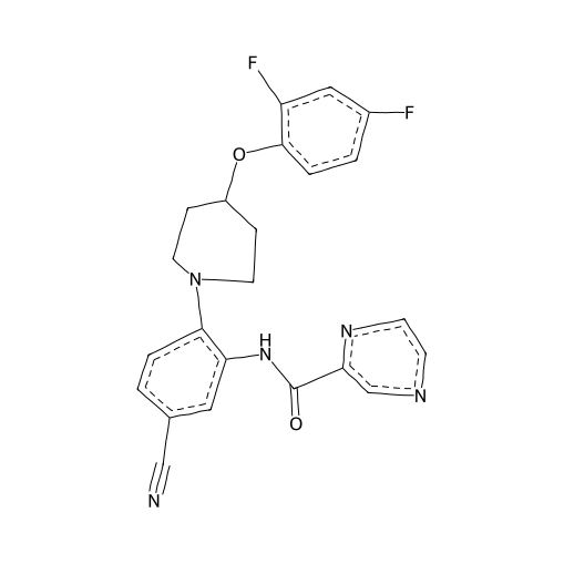 N#Cc1ccc(N2CCC(Oc3ccc(F)cc3F)CC2)c(NC(=O)c2cnccn2)c1